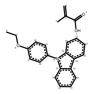 C=C(C)C(=O)O.CCOc1ccc(-n2c3ccccc3c3ccccc32)cc1